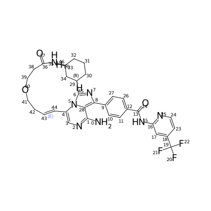 Nc1ncc2n3c(nc(-c4ccc(C(=O)Nc5cc(C(F)(F)F)ccn5)cc4)c13)[C@@H]1CCC[C@H](C1)NC(=O)CCOCC/C=C/2